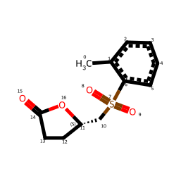 Cc1ccccc1S(=O)(=O)C[C@@H]1CCC(=O)O1